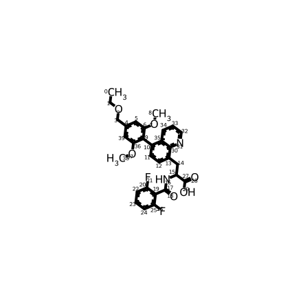 CCOCc1cc(OC)c(-c2ccc(CC(NC(=O)c3c(F)cccc3F)C(=O)O)c3ncccc23)c(OC)c1